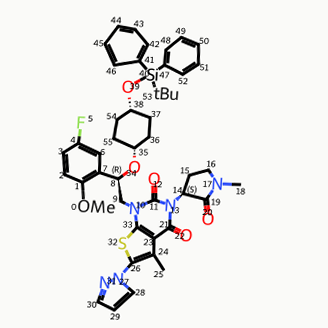 COc1ccc(F)cc1[C@H](Cn1c(=O)n([C@H]2CCN(C)C2=O)c(=O)c2c(C)c(-n3cccn3)sc21)O[C@H]1CC[C@@H](O[Si](c2ccccc2)(c2ccccc2)C(C)(C)C)CC1